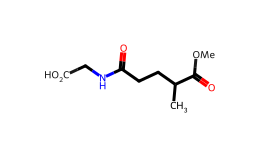 COC(=O)C(C)CCC(=O)NCC(=O)O